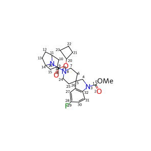 COC(=O)N1CC2(CCN(C3CC4CCC(C3)N4C(=O)OC3CCC3)CC2)c2cc(F)ccc21